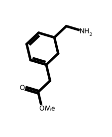 COC(=O)CC1=CC=CC(CN)C1